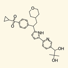 CC(C)(O)C(O)c1ccc(-c2ccc(C(CC3CCOCC3)c3ccc(S(=O)(=O)C4CC4)cc3)[nH]2)nc1